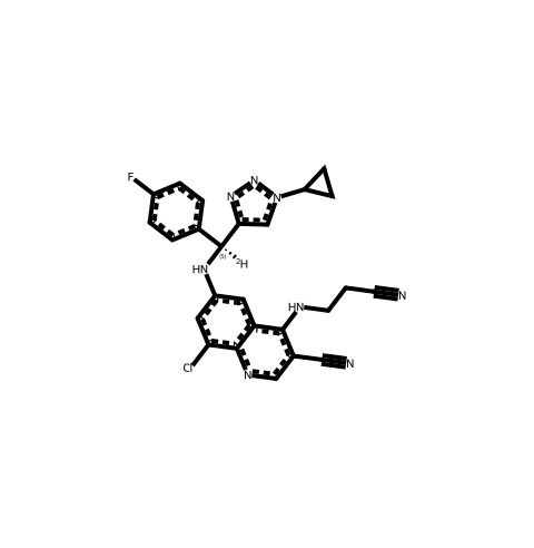 [2H][C@](Nc1cc(Cl)c2ncc(C#N)c(NCCC#N)c2c1)(c1ccc(F)cc1)c1cn(C2CC2)nn1